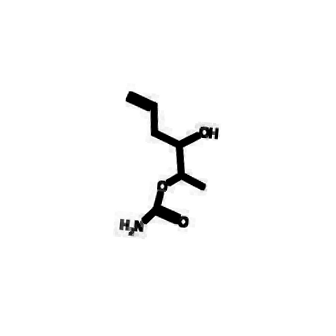 C=CCC(O)C(C)OC(N)=O